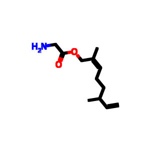 C=CC(C)CCC=C(C)COC(=O)CN